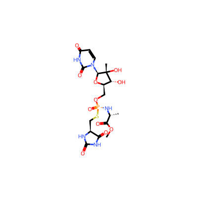 COC(=O)[C@@H](C)N[P@](=O)(OC[C@H]1O[C@@H](n2ccc(=O)[nH]c2=O)[C@](C)(O)[C@@H]1O)SC[C@@H]1NC(=O)NC1=O